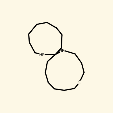 C1CCCCCC2(CCCCCCCCP2)PCCCC1